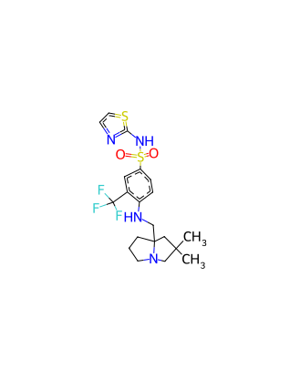 CC1(C)CN2CCCC2(CNc2ccc(S(=O)(=O)Nc3nccs3)cc2C(F)(F)F)C1